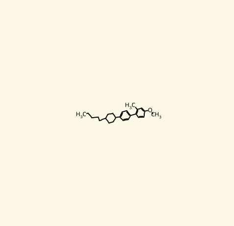 CCCCCC1CCC(c2ccc(-c3ccc(OC)cc3C)cc2)CC1